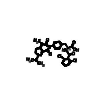 CN(C)c1ccc2c(c1)c(=O)n(-c1ccc(C[C@H](NC(=O)c3c(Cl)cccc3Cl)C(=O)O)cc1)c(=O)n2C